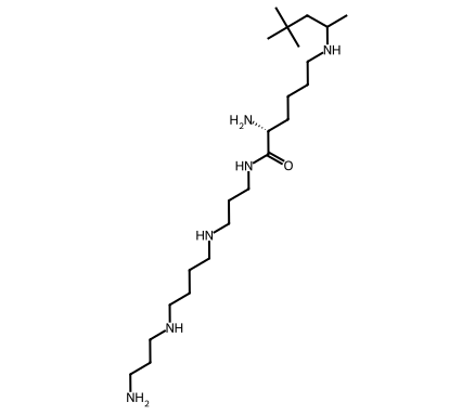 CC(CC(C)(C)C)NCCCC[C@@H](N)C(=O)NCCCNCCCCNCCCN